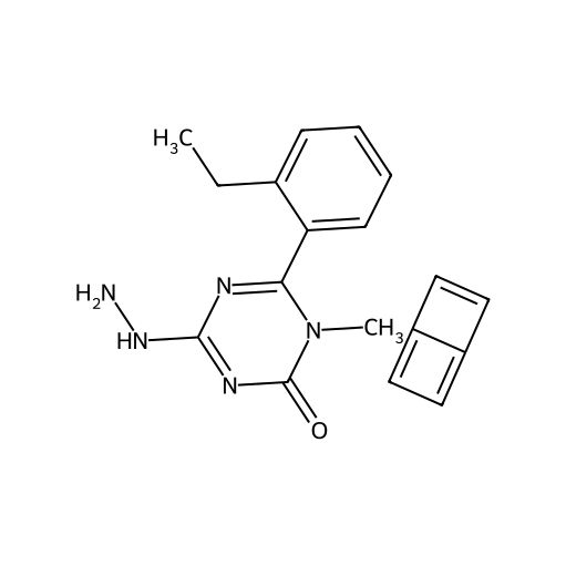 CCc1ccccc1-c1nc(NN)nc(=O)n1C.c1cc2ccc1-2